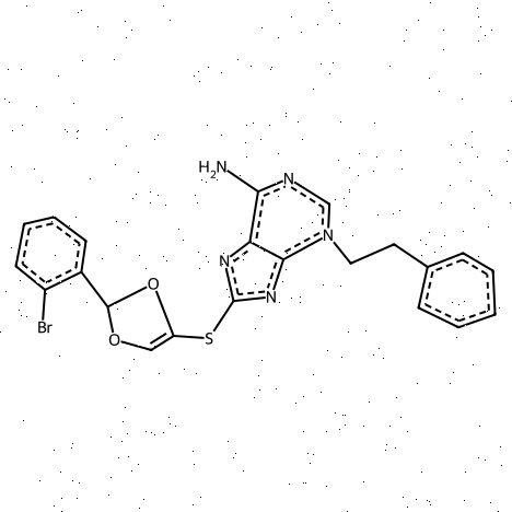 Nc1ncn(CCc2ccccc2)c2nc(SC3=COC(c4ccccc4Br)O3)nc1-2